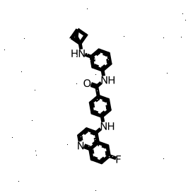 O=C(Nc1cccc(NC23CC(C2)C3)c1)c1ccc(Nc2ccnc3ccc(F)cc23)cc1